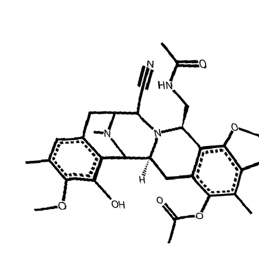 COc1c(C)cc2c(c1O)C1[C@@H]3Cc4c(OC(C)=O)c(C)c5c(c4[C@H](CNC(C)=O)N3C(C#N)C(C2)N1C)OCO5